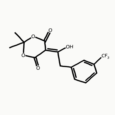 CC1(C)OC(=O)C(=C(O)Cc2cccc(C(F)(F)F)c2)C(=O)O1